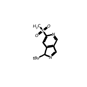 CC(C)(C)C1N=Cc2cnc(S(C)(=O)=O)cc21